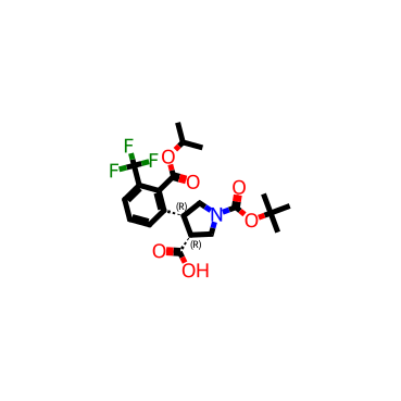 CC(C)OC(=O)c1c([C@@H]2CN(C(=O)OC(C)(C)C)C[C@@H]2C(=O)O)cccc1C(F)(F)F